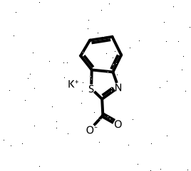 O=C([O-])c1nc2ccccc2s1.[K+]